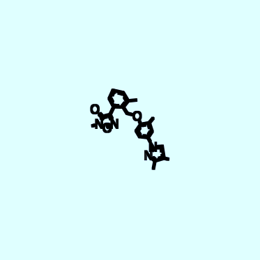 Cc1cc(-n2cc(C)c(C)n2)ccc1OCc1c(C)cccc1-c1non(C)c1=O